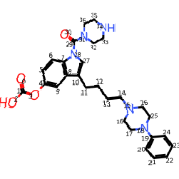 O=C(O)Oc1ccc2c(c1)c(CCCCN1CCN(c3ccccc3)CC1)cn2C(=O)N1CCNCC1